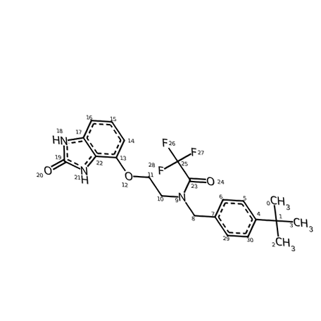 CC(C)(C)c1ccc(CN(CCOc2cccc3[nH]c(=O)[nH]c23)C(=O)C(F)(F)F)cc1